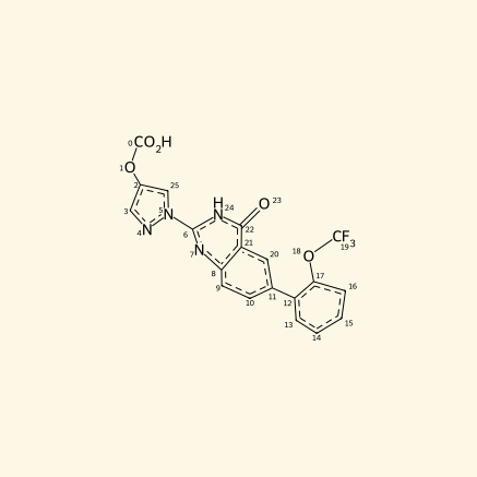 O=C(O)Oc1cnn(-c2nc3ccc(-c4ccccc4OC(F)(F)F)cc3c(=O)[nH]2)c1